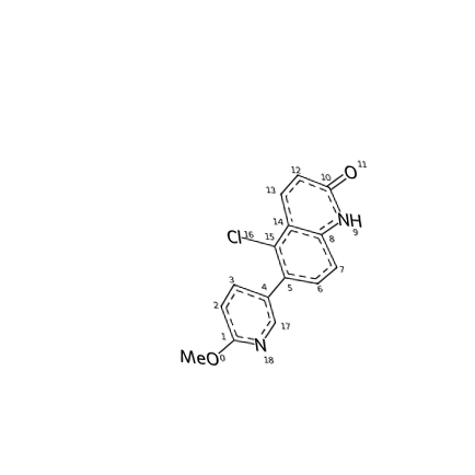 COc1ccc(-c2ccc3[nH]c(=O)ccc3c2Cl)cn1